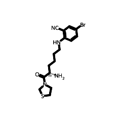 N#Cc1cc(Br)ccc1NCCCC[C@H](N)C(=O)N1CCSC1